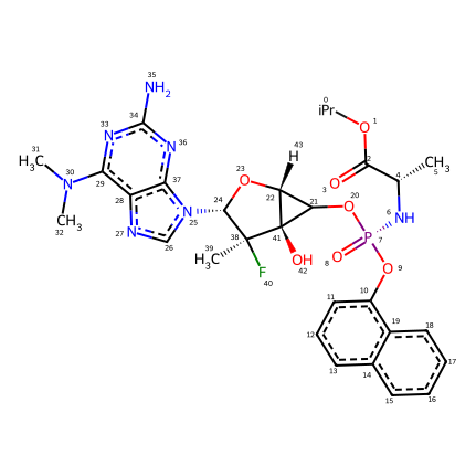 CC(C)OC(=O)[C@H](C)N[P@@](=O)(Oc1cccc2ccccc12)OC1[C@H]2O[C@@H](n3cnc4c(N(C)C)nc(N)nc43)[C@](C)(F)[C@@]12O